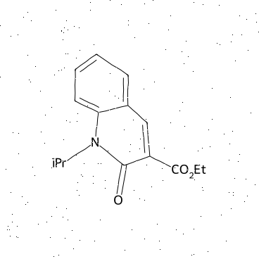 CCOC(=O)c1cc2ccccc2n(C(C)C)c1=O